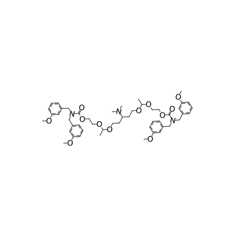 COc1cccc(CN(Cc2cccc(OC)c2)C(=O)OCCOC(C)OCCC(CCOC(C)OCCOC(=O)N(Cc2cccc(OC)c2)Cc2cccc(OC)c2)N(C)C)c1